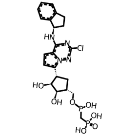 O=P(O)(O)CP(O)OC[C@H]1C[C@@H](c2ccc3c(N[C@@H]4CCc5ccccc54)nc(Cl)nn23)[C@H](O)[C@@H]1O